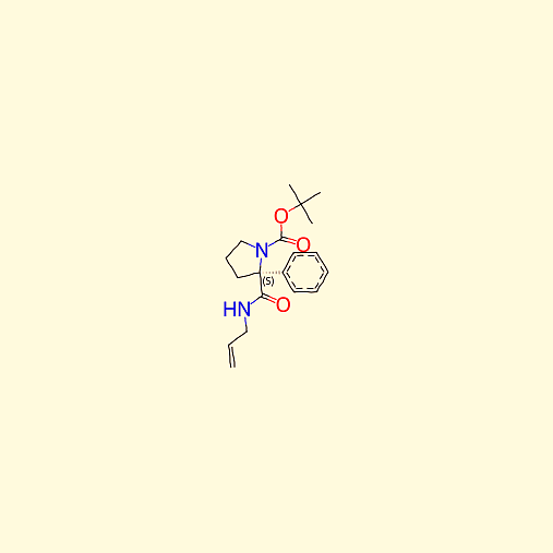 C=CCNC(=O)[C@@]1(c2ccccc2)CCCN1C(=O)OC(C)(C)C